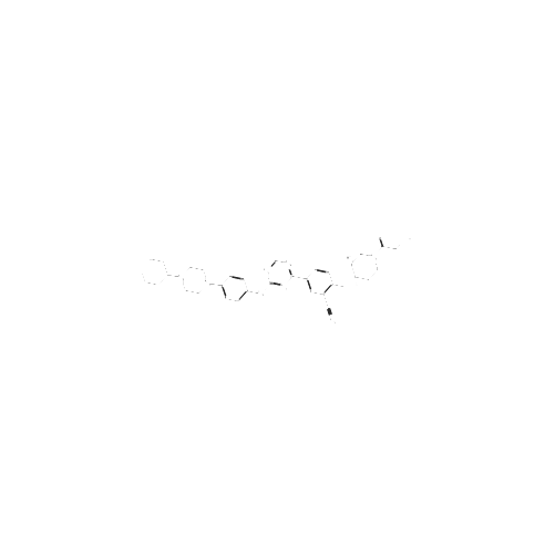 N#Cc1cc(-c2ncnc(Nc3ccc(N4CCN(C5CCOCC5)CC4)cc3)n2)ccc1O[C@H]1CCN(C(=O)CO)C[C@H]1F